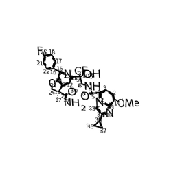 COc1ccc(C(=O)NCC(O)(c2cc3c(c(-c4ccc(F)cc4)n2)OC[C@]3(C)C(N)=O)C(F)(F)F)n2cc(C3CC3)nc12